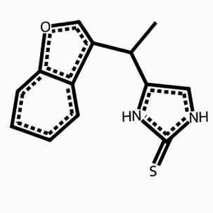 CC(c1c[nH]c(=S)[nH]1)c1coc2ccccc12